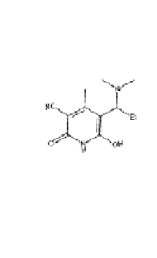 CCC(c1c(O)[nH]c(=O)c(C#N)c1C)N(C)C